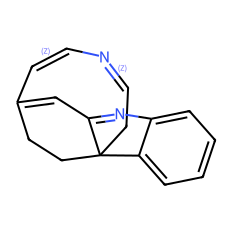 C1=C2/C=C\N=C/CC3(CC2)C1=Nc1ccccc13